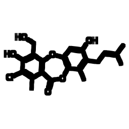 CC(C)=CCc1c(O)cc2c(c1C)OC(=O)c1c(C)c(Cl)c(O)c(CO)c1O2